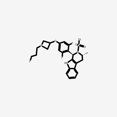 CCS(=O)(=O)N1[C@H](c2c(F)cc(OC3CN(CCCF)C3)cc2F)c2[nH]c3ccccc3c2C[C@H]1C